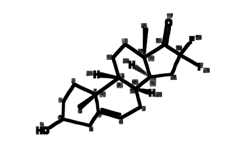 C[C@]12CCC(O)CC1=CC[C@@H]1[C@H]2CC[C@]2(C)C(=O)C(F)(F)C[C@@H]12